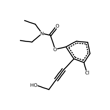 CCN(CC)C(=O)Oc1cccc(Cl)c1C#CCO